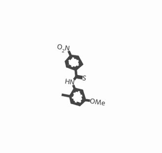 COc1ccc(C)c(NC(=S)c2ccc([N+](=O)[O-])cc2)c1